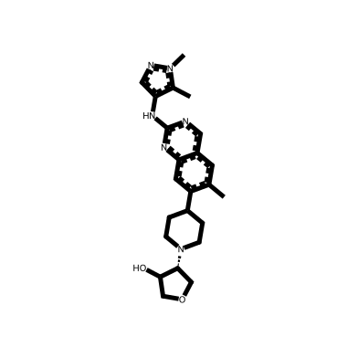 Cc1cc2cnc(Nc3cnn(C)c3C)nc2cc1C1CCN([C@@H]2COCC2O)CC1